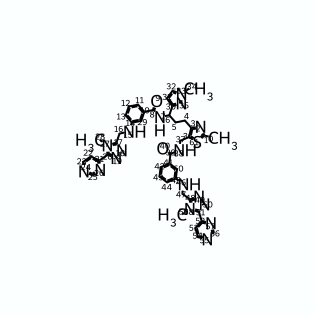 Cc1nc(CCC(NC(=O)c2cccc(NCc3nnc(-c4ccncn4)n3C)c2)c2ccn(C)n2)c(CNC(=O)c2cccc(NCc3nnc(-c4ccncn4)n3C)c2)s1